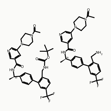 CC(=O)N1CCN(c2cncc(C(=O)N[C@H](C)c3ccc(-c4cc(C(F)(F)F)ccc4CN)cc3)c2)CC1.CC(=O)N1CCN(c2cncc(C(=O)N[C@H](C)c3ccc(-c4cc(C(F)(F)F)ccc4CNC(=O)OC(C)(C)C)cc3)c2)CC1